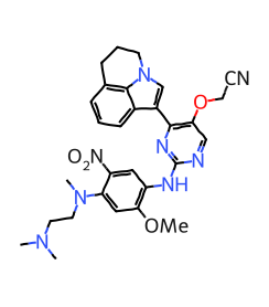 COc1cc(N(C)CCN(C)C)c([N+](=O)[O-])cc1Nc1ncc(OCC#N)c(-c2cn3c4c(cccc24)CCC3)n1